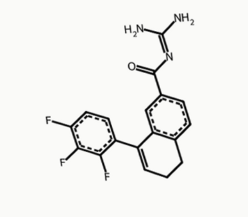 NC(N)=NC(=O)c1ccc2c(c1)C(c1ccc(F)c(F)c1F)=CCC2